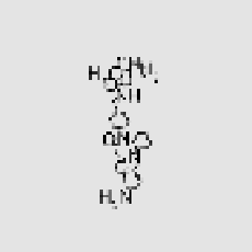 CC(C)(C)OC(=O)NCc1ccc(N2C(=O)CC(=O)N(Cc3ccc(N)cc3)c3ccccc32)cc1